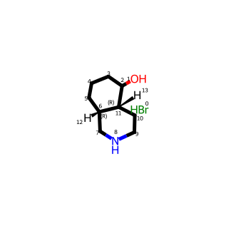 Br.OC1CCC[C@H]2CNCC[C@@H]12